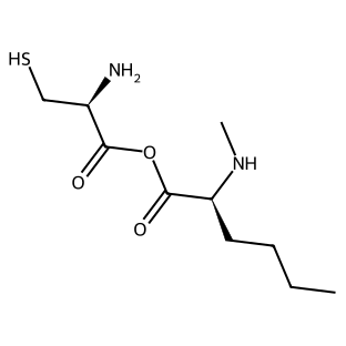 CCCC[C@H](NC)C(=O)OC(=O)[C@H](N)CS